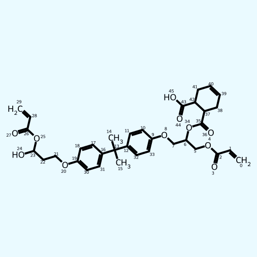 C=CC(=O)OCC(COc1ccc(C(C)(C)c2ccc(OCCC(O)OC(=O)C=C)cc2)cc1)OC(=O)C1CC=CCC1C(=O)O